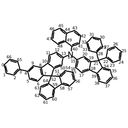 c1ccc(-c2ccc3c(c2)-c2ccc(N(c4ccc5c(c4)C(c4ccccc4)(c4ccccc4)c4ccccc4-5)c4cccc5ccccc45)cc2C32c3ccccc3-c3ccccc32)cc1